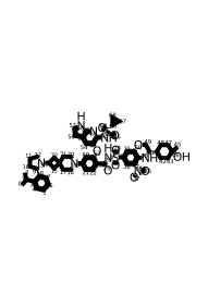 CC(C)c1ccccc1[C@H]1CCCN1C1CC2(CCN(c3ccc(C(=O)NS(=O)(=O)c4cc5c(c([N+](=O)[O-])c4)N[C@@H](C4CCC(C)(O)CC4)CO5)c(Oc4cc5cc[nH]c5nc4NS(=O)(=O)C4CC4)c3)CC2)C1